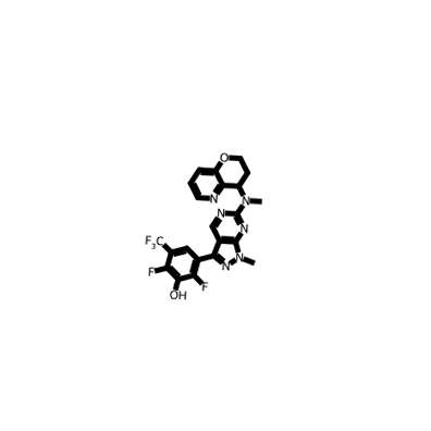 CN(c1ncc2c(-c3cc(C(F)(F)F)c(F)c(O)c3F)nn(C)c2n1)C1CCOc2cccnc21